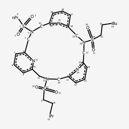 CCCS(=O)(=O)N1Cc2cccc(n2)CN(S(=O)(=O)CCC(C)C)Cc2cccc(n2)CN(S(=O)(=O)CCC(C)CC)Cc2cccc(n2)C1